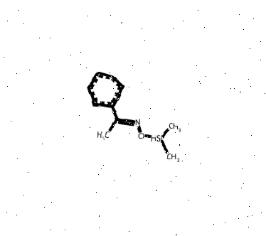 CC(=NO[SiH](C)C)c1ccccc1